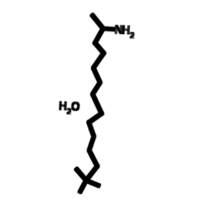 CC(N)CCCCCCCCCCC(C)(C)C.O